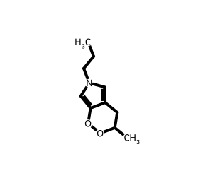 CCCn1cc2c(c1)OOC(C)C2